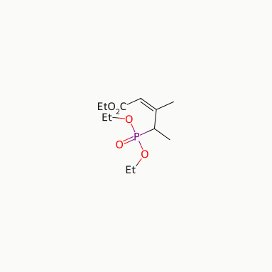 CCOC(=O)C=C(C)C(C)P(=O)(OCC)OCC